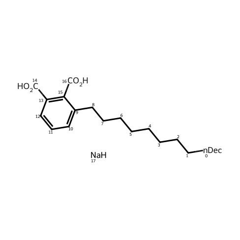 CCCCCCCCCCCCCCCCCCc1cccc(C(=O)O)c1C(=O)O.[NaH]